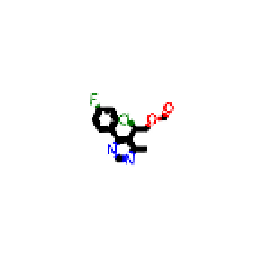 Cc1ncnc(-c2ccc(F)cc2)c1C(Cl)COC=O